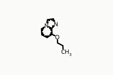 CCCOc1cccn2ccnc12